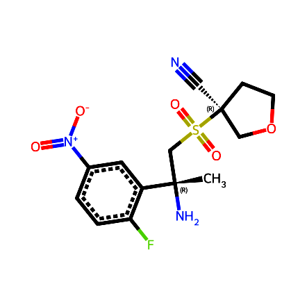 C[C@](N)(CS(=O)(=O)[C@@]1(C#N)CCOC1)c1cc([N+](=O)[O-])ccc1F